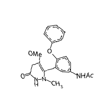 COC1=C(c2cc(NC(C)=O)ccc2Oc2ccccc2)N(C)NC(=O)C1